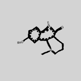 COc1ccc2[nH]c(=O)c3c(c2c1)N(C)CCC3